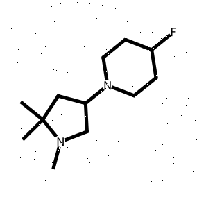 CN1CC(N2CCC(F)CC2)CC1(C)C